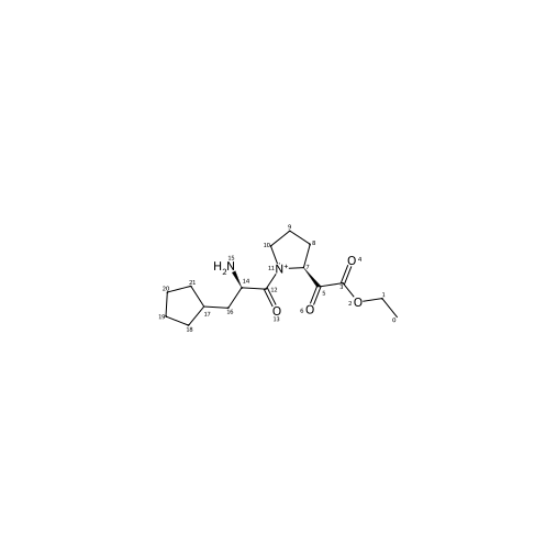 CCOC(=O)C(=O)[C@@H]1CCC[N+]1C(=O)[C@H](N)CC1CCCC1